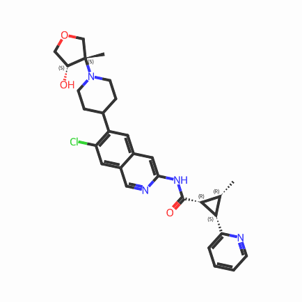 C[C@H]1[C@@H](C(=O)Nc2cc3cc(C4CCN([C@@]5(C)COC[C@H]5O)CC4)c(Cl)cc3cn2)[C@H]1c1ccccn1